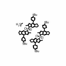 CC1=Cc2c(cc3c(c2-c2ccc(C(C)(C)C)cc2)CCC3)[CH]1[Zr]([Cl])([Cl])[CH]1C(C)=Cc2c1cc1c(c2-c2ccc(C(C)(C)C)cc2)CCC1.CC1=Cc2c(cc3c(c2-c2ccc(C(C)(C)C)cc2)CCC3)[CH]1[Zr]([Cl])([Cl])[CH]1C(C)=Cc2c1cc1c(c2-c2ccc(C(C)(C)C)cc2)CCC1.C[SiH2]C